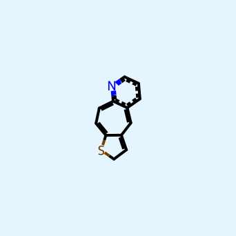 C1=C2C=c3cccnc3=CC=C2SC1